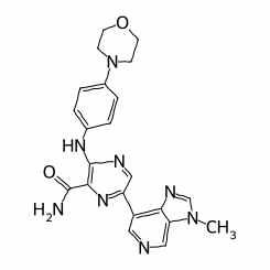 Cn1cnc2c(-c3cnc(Nc4ccc(N5CCOCC5)cc4)c(C(N)=O)n3)cncc21